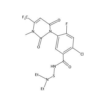 CCN(CC)SNC(=O)c1cc(-n2c(=O)cc(C(F)(F)F)n(C)c2=O)c(F)cc1Cl